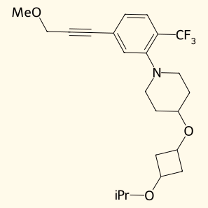 COCC#Cc1ccc(C(F)(F)F)c(N2CCC(OC3CC(OC(C)C)C3)CC2)c1